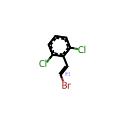 Clc1cccc(Cl)c1/C=C/Br